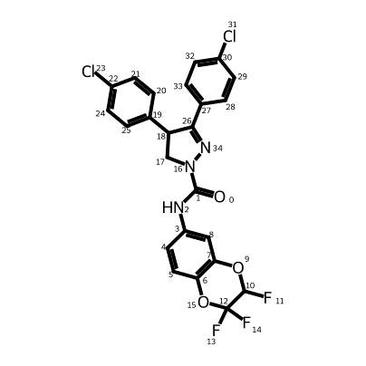 O=C(Nc1ccc2c(c1)OC(F)C(F)(F)O2)N1CC(c2ccc(Cl)cc2)C(c2ccc(Cl)cc2)=N1